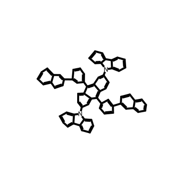 c1cc(-c2ccc3ccccc3c2)cc(-c2c3ccc(-n4c5ccccc5c5ccccc54)cc3c(-c3cccc(-c4ccc5ccccc5c4)c3)c3ccc(-n4c5ccccc5c5ccccc54)cc23)c1